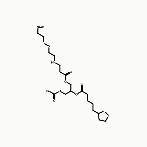 CCCC(=O)OCC(COC(=O)CCNCCSSCCNC)OC(=O)CCCCC1CCSS1